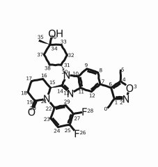 Cc1noc(C)c1-c1ccc2c(c1)nc([C@@H]1CCCC(=O)N1c1ccc(F)c(F)c1)n2[C@H]1CC[C@@](C)(O)CC1